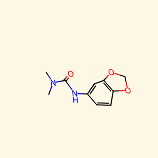 CN(C)C(=O)Nc1ccc2c(c1)OCO2